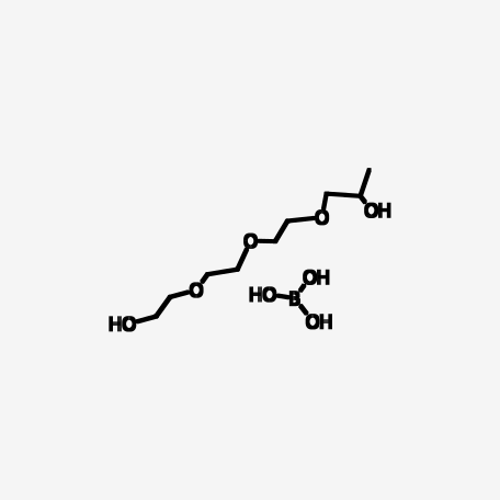 CC(O)COCCOCCOCCO.OB(O)O